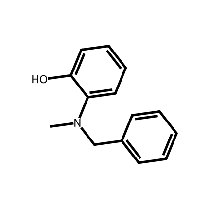 CN(Cc1ccccc1)c1ccccc1O